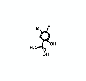 CC(=NO)c1cc(Br)c(F)cc1O